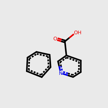 O=C(O)c1cccnc1.c1ccccc1